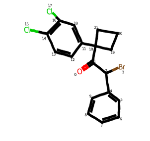 O=C(C(Br)c1ccccc1)C1(c2ccc(Cl)c(Cl)c2)CCC1